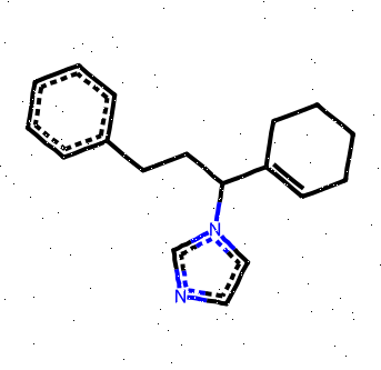 C1=C(C(CCc2ccccc2)n2ccnc2)CCCC1